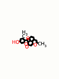 CC1=Cc2cccc3c2C(=CC(=O)C32Oc3cc(O)cc(C)c3C2=O)O1